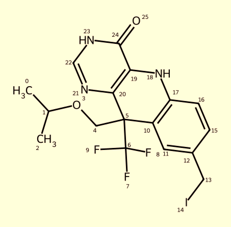 CC(C)OCC1(C(F)(F)F)c2cc(CI)ccc2Nc2c1nc[nH]c2=O